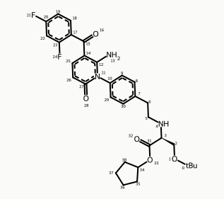 CC(C)(C)OC[C@H](NCCc1ccc(-n2c(N)c(C(=O)c3ccc(F)cc3F)ccc2=O)cc1)C(=O)OC1CCCC1